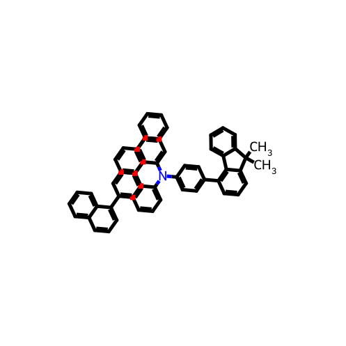 CC1(C)c2ccccc2-c2c(-c3ccc(N(c4ccccc4-c4ccc(-c5cccc6ccccc56)cc4)c4ccccc4-c4cccc(-c5ccccc5)c4)cc3)cccc21